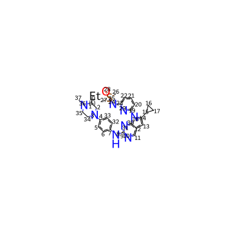 CC[C@H]1CN(c2ccc(Nc3ncc4cc(C5CC5)n(-c5cccc(N=S(C)(C)=O)n5)c4n3)cc2)CCN1C